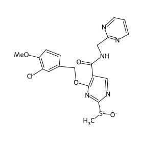 COc1ccc(COc2nc([S+](C)[O-])ncc2C(=O)NCc2ncccn2)cc1Cl